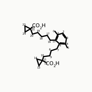 Cc1ccc(C)c(CCCCC2(C(=O)O)CC2)c1CCCCCC1(C(=O)O)CC1